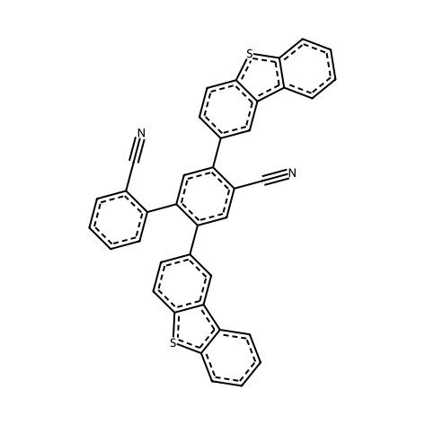 N#Cc1cc(-c2ccc3sc4ccccc4c3c2)c(-c2ccccc2C#N)cc1-c1ccc2sc3ccccc3c2c1